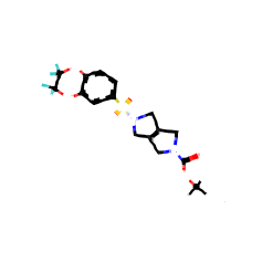 CC(C)(C)OC(=O)N1CC2=C(C1)CN(S(=O)(=O)c1ccc3c(c1)OC(F)(F)C(F)(F)O3)C2